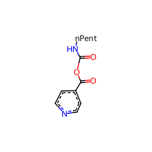 CCCCCNC(=O)OC(=O)c1ccncc1